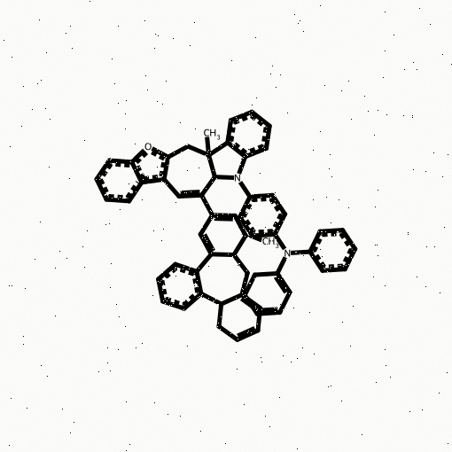 C[C@@H]1C=C(C2=Cc3c(oc4ccccc34)CC3(C)c4ccccc4N(c4ccc(N(C5=CC=CCC5)c5ccccc5)cc4)C23)C=C2c3ccccc3C3CC=CC=C3CC21